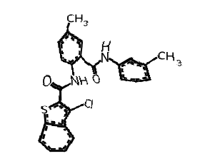 Cc1cccc(NC(=O)c2cc(C)ccc2NC(=O)c2sc3ccccc3c2Cl)c1